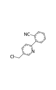 N#Cc1ccccc1-c1ccc(CCl)cn1